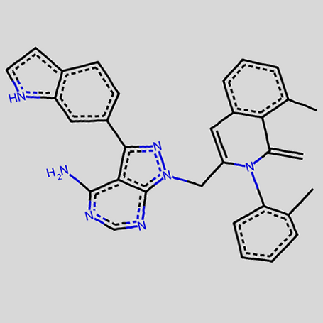 C=C1c2c(C)cccc2C=C(Cn2nc(-c3ccc4cc[nH]c4c3)c3c(N)ncnc32)N1c1ccccc1C